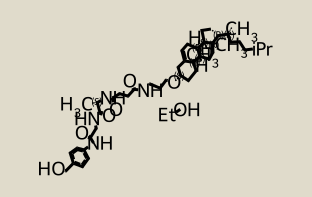 CC(C)CCC[C@@H](C)[C@H]1CC[C@H]2[C@@H]3CC=C4C[C@@H](OCCCNC(=O)CCC(=O)N[C@@H](C)C(=O)NCC(=O)Nc5ccc(CO)cc5)CC[C@]4(C)[C@H]3CC[C@]12C.CCO